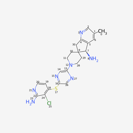 Cc1cnc2c(c1)[C@@H](N)C1(CCN(c3cnc(Sc4ccnc(N)c4Cl)cn3)CC1)C2